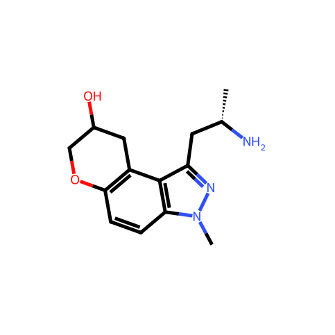 C[C@H](N)Cc1nn(C)c2ccc3c(c12)CC(O)CO3